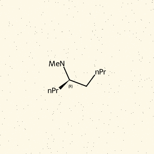 CCCC[C@@H](CCC)NC